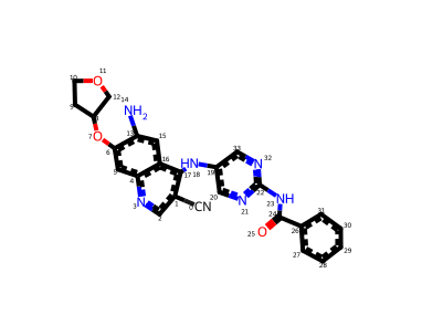 N#Cc1cnc2cc(OC3CCOC3)c(N)cc2c1Nc1cnc(NC(=O)c2ccccc2)nc1